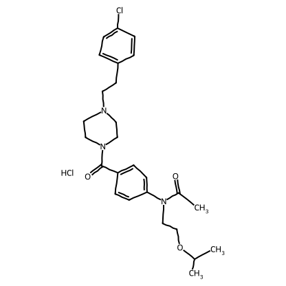 CC(=O)N(CCOC(C)C)c1ccc(C(=O)N2CCN(CCc3ccc(Cl)cc3)CC2)cc1.Cl